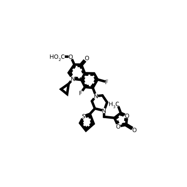 Cc1oc(=O)oc1CN1CCN(c2c(F)cc3c(=O)c(OC(=O)O)cn(C4CC4)c3c2F)CC1c1cccs1